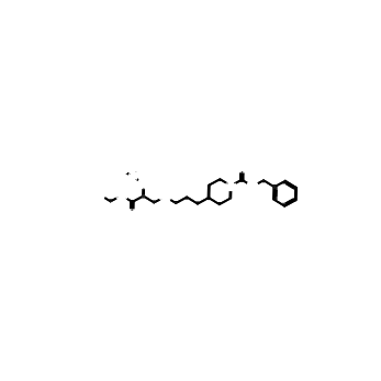 CCOC(=O)C(COCCCC1CCN(C(=O)OCc2ccccc2)CC1)OS(C)(=O)=O